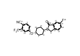 N#Cc1ccc(O[C@H]2CC[C@H](N3Cc4ccc(F)cc4C3=O)CC2)cc1C(F)(F)F